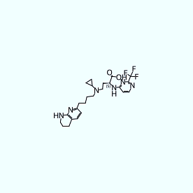 O=C(O)[C@H](CCN(CCCCc1ccc2c(n1)NCCC2)C1CC1)Nc1ccnc(C(F)(F)F)n1